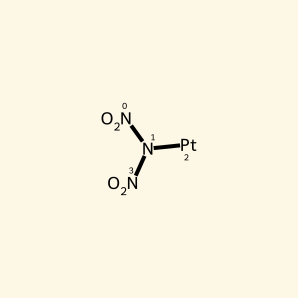 O=[N+]([O-])[N]([Pt])[N+](=O)[O-]